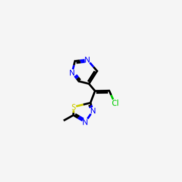 Cc1nnc(C(=CCl)c2cncnc2)s1